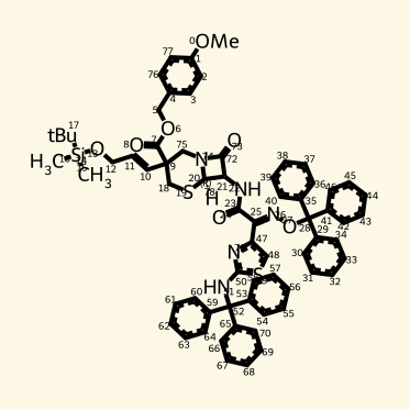 COc1ccc(COC(=O)C2(C=CCO[Si](C)(C)C(C)(C)C)CS[C@@H]3C(NC(=O)C(=NOC(c4ccccc4)(c4ccccc4)c4ccccc4)c4csc(NC(c5ccccc5)(c5ccccc5)c5ccccc5)n4)C(=O)N3C2)cc1